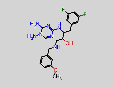 COc1cccc(CNCC(O)C(Cc2cc(F)cc(F)c2)NC2=NC(N)N(N)C=N2)c1